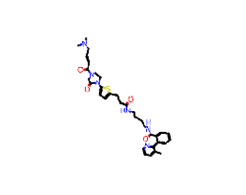 Cc1cccnc1-c1ccccc1C(=O)NCCCCNC(=O)CCc1ccc(N2CCN(C(=O)C=CCN(C)C)CC2=O)s1